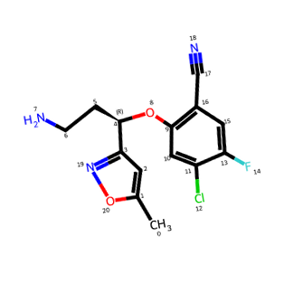 Cc1cc([C@@H](CCN)Oc2cc(Cl)c(F)cc2C#N)no1